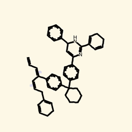 C=C/C=C(\C=C/CC1=CCCC=C1)c1ccc(C2(c3ccc(C4=CC(c5ccccc5)NC(C5=CCCC=C5)=N4)cc3)CCCCC2)cc1